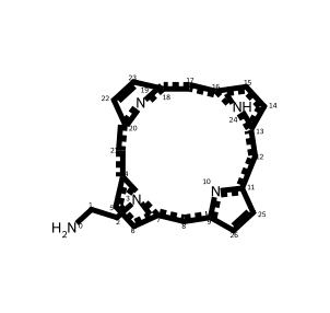 NCCn1c2ccc1cc1nc(cc3ccc(cc4nc(c2)C=C4)[nH]3)C=C1